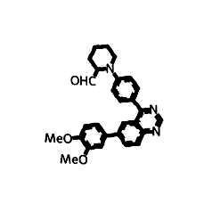 COc1ccc(-c2ccc3ncnc(-c4ccc(N5CCCCC5C=O)cc4)c3c2)cc1OC